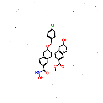 COC(=O)c1ccc2c(c1)CCC(O)C2.O=C(NO)c1ccc2c(c1)CCC(OCc1ccc(Cl)cc1)C2